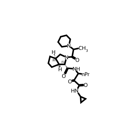 CCCC(NC(=O)[C@@H]1[C@H]2CCC[C@H]2CN1C(=O)C(C)N1CCCCC1)C(=O)C(=O)NC1CC1